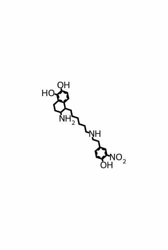 NC1CCc2c(ccc(O)c2O)C1CCCCCCNCCc1ccc(O)c([N+](=O)[O-])c1